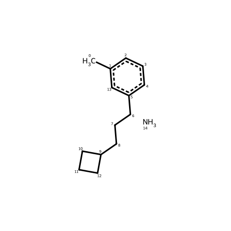 Cc1cccc(CCCC2CCC2)c1.N